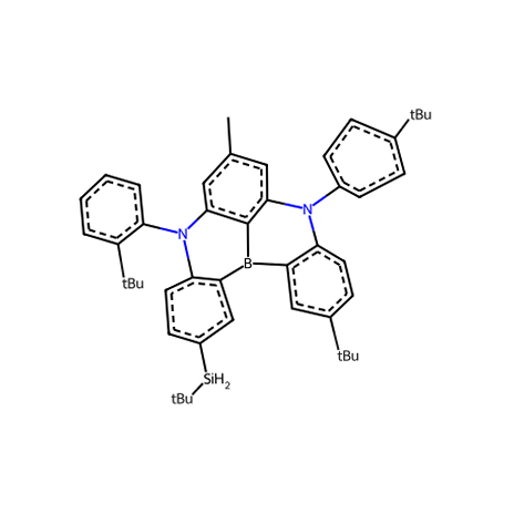 Cc1cc2c3c(c1)N(c1ccccc1C(C)(C)C)c1ccc([SiH2]C(C)(C)C)cc1B3c1cc(C(C)(C)C)ccc1N2c1ccc(C(C)(C)C)cc1